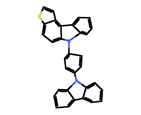 c1ccc2c(c1)c1ccccc1n2-c1ccc(-n2c3ccccc3c3c4ccsc4ccc32)cc1